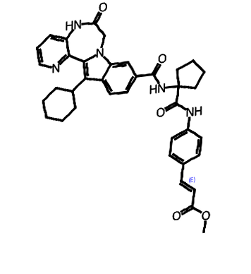 COC(=O)/C=C/c1ccc(NC(=O)C2(NC(=O)c3ccc4c(C5CCCCC5)c5n(c4c3)CC(=O)Nc3cccnc3-5)CCCC2)cc1